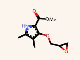 COC(=O)c1[nH]c(C)c(C)c1OCC1CO1